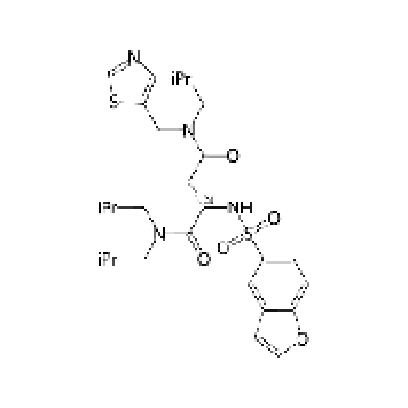 CC(C)CN(Cc1cncs1)C(=O)C[C@H](NS(=O)(=O)c1ccc2occc2c1)C(=O)N(CC(C)C)CC(C)C